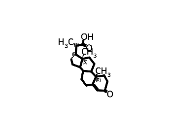 C[C@H](C(=O)O)[C@H]1CCC2C3CCC4=CC(=O)CC[C@]4(C)C3CC[C@@]21C